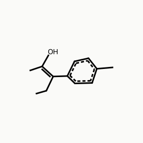 CC/C(=C(\C)O)c1ccc(C)cc1